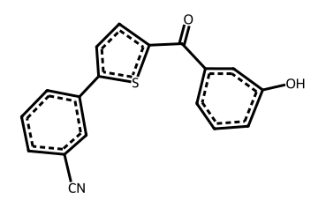 N#Cc1cccc(-c2ccc(C(=O)c3cccc(O)c3)s2)c1